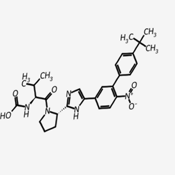 CC(C)[C@H](NC(=O)O)C(=O)N1CCC[C@H]1c1ncc(-c2ccc([N+](=O)[O-])c(-c3ccc(C(C)(C)C)cc3)c2)[nH]1